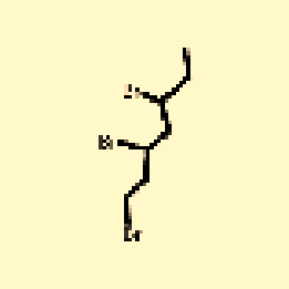 CCC(Br)CC(Br)CCBr